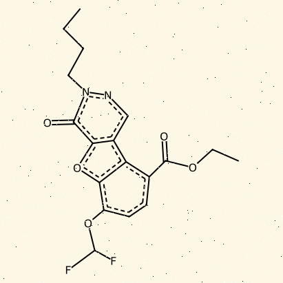 CCCCn1ncc2c(oc3c(OC(F)F)ccc(C(=O)OCC)c32)c1=O